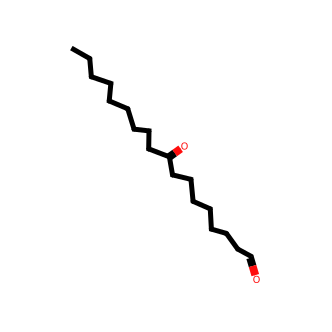 CCCCCCCCCC(=O)CCCCCCCC=O